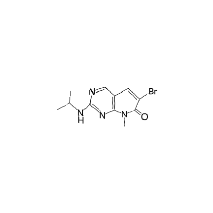 CC(C)Nc1ncc2cc(Br)c(=O)n(C)c2n1